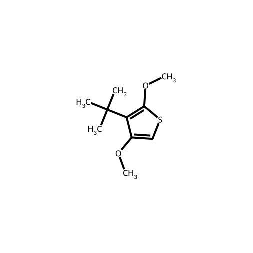 COc1csc(OC)c1C(C)(C)C